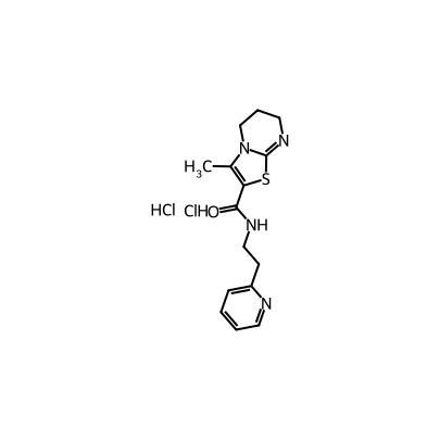 CC1=C(C(=O)NCCc2ccccn2)SC2=NCCCN21.Cl.Cl